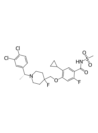 C[C@H](c1ccc(Cl)c(Cl)c1)N1CCC(F)(COc2cc(F)c(C(=O)NS(C)(=O)=O)cc2C2CC2)CC1